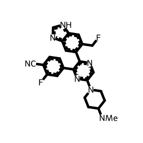 CNC1CCN(c2cnc(-c3cc4nc[nH]c4cc3CF)c(-c3ccc(C#N)c(F)c3)n2)CC1